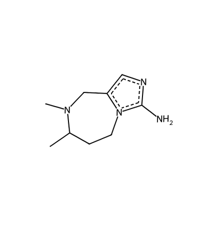 CC1CCn2c(cnc2N)CN1C